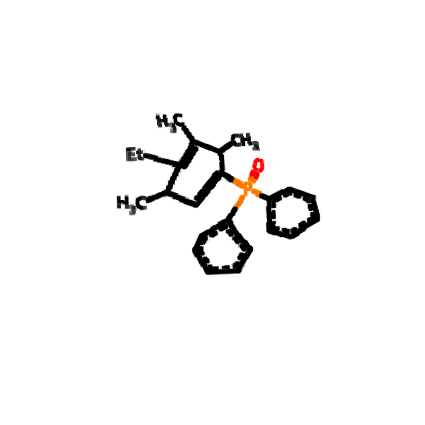 CCC1=C(C)C(C)C(P(=O)(c2ccccc2)c2ccccc2)=CC1C